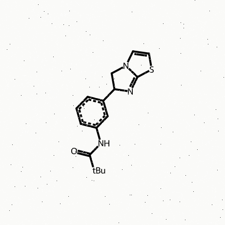 CC(C)(C)C(=O)Nc1cccc(C2CN3C=CSC3=N2)c1